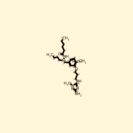 CCCCCC(=O)NN(CCCC)Cc1cccc(OCCCNc2nc(N)nn2C)c1.O.O